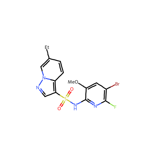 CCc1ccc2c(S(=O)(=O)Nc3nc(F)c(Br)cc3OC)cnn2c1